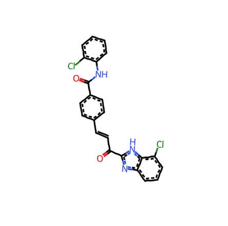 O=C(Nc1ccccc1Cl)c1ccc(C=CC(=O)c2nc3cccc(Cl)c3[nH]2)cc1